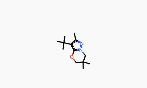 Cc1nn2c(c1C(C)(C)C)OCC(C)(C)C2